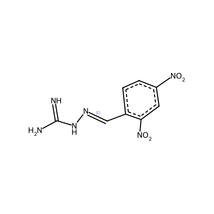 N=C(N)N/N=C/c1ccc([N+](=O)[O-])cc1[N+](=O)[O-]